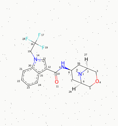 CN1[C@@H]2COC[C@H]1C[C@@H](NC(=O)c1cn(CC(F)(F)F)c3ccccc13)C2